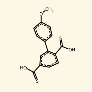 COc1ccc(-c2cc(C(O)=S)ccc2C(O)=S)cc1